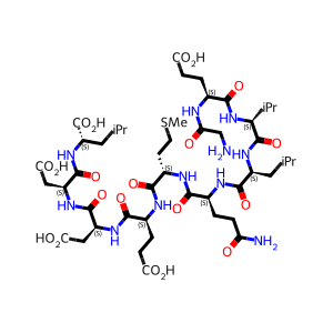 CSCC[C@H](NC(=O)[C@H](CCC(N)=O)NC(=O)[C@H](CC(C)C)NC(=O)[C@@H](NC(=O)[C@H](CCC(=O)O)NC(=O)CN)C(C)C)C(=O)N[C@@H](CCC(=O)O)C(=O)N[C@@H](CC(=O)O)C(=O)N[C@@H](CC(=O)O)C(=O)N[C@@H](CC(C)C)C(=O)O